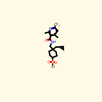 CCS(=O)(=O)C1CCC(CNC(=O)c2c(C)cc(C(F)(F)F)nc2C)(CC2CC2)CC1